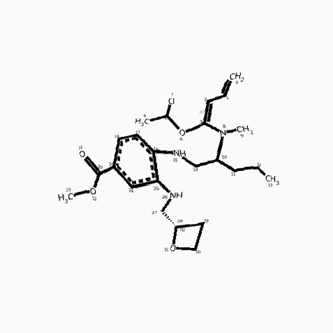 C=C/C=C(/OC(C)Cl)N(C)C(CCC)CNc1ccc(C(=O)OC)cc1NC[C@@H]1CCO1